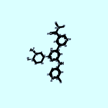 CC(=O)N1C[C@H](c2nc(Nc3ccnc(C)c3)cc(-c3cncc(C(=O)N(C)C)c3)n2)CC[C@@H]1C